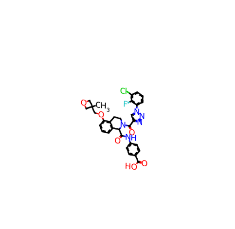 CC1(COc2cccc3c2CCN(C(=O)c2cn(-c4cccc(Cl)c4F)nn2)C3C(=O)Nc2ccc(C(=O)O)cc2)COC1